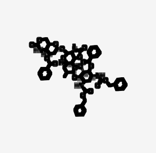 CC1C[C@@H]2OC(O[C@@H]3C[C@@H](OC(=O)c4ccccc4)[C@@H]4NC(=O)OCC4O3)C3C(OC(=O)N3C)C2O[C@@H]1O[C@@H]1C(NC(=O)OCc2ccccc2)C[C@@H](NC(=O)OCc2ccccc2)C(OC(=O)c2ccccc2)[C@H]1O